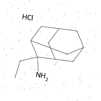 CCC1(N)C2CC3CC(C2)CC1C3.Cl